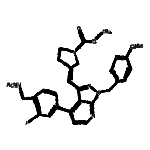 COc1ccc(Cn2nc(/C=C3/CCN(C(=O)OC(C)(C)C)C3)c3c(-c4ccc(CNC(C)=O)c(F)c4)ccnc32)cc1